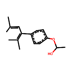 CC(C)=CC(=C(C)C)c1ccc(OC(C)O)cc1